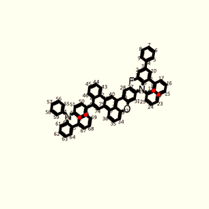 Fc1cc(-c2ccccc2)cc(-c2ccccc2)c1N(c1ccccc1)c1ccc2c(c1)Oc1cccc3c1c-2cc1c2ccccc2c(-c2ccc(N(c4ccccc4)c4ccccc4-c4ccccc4)cc2)cc31